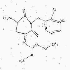 COc1cc2c(cc1OC)N(Cc1ccccc1Cl)C(=O)C(N)C2.Cl